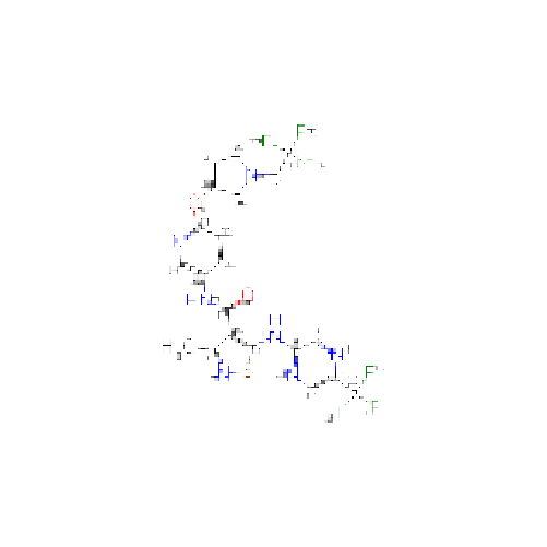 Cc1nsc(Nc2cnc(C(F)(F)F)cn2)c1C(=O)Nc1ccc(OC2CCN(CC(F)(F)F)C2)nc1